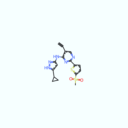 C#Cc1cnc(-c2ccc(S(C)(=O)=O)s2)nc1Nc1cc(C2CC2)[nH]n1